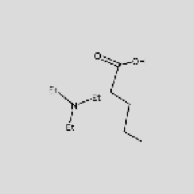 CCCCC(=O)O.CCN(CC)CC